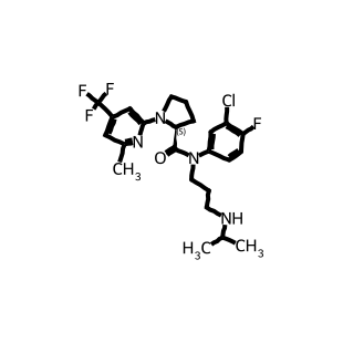 Cc1cc(C(F)(F)F)cc(N2CCC[C@H]2C(=O)N(CCCNC(C)C)c2ccc(F)c(Cl)c2)n1